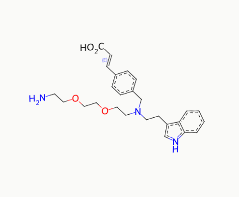 NCCOCCOCCN(CCc1c[nH]c2ccccc12)Cc1ccc(/C=C/C(=O)O)cc1